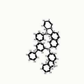 C1=CC2c3ccc4ccc(N(c5cccc(-c6ccccc6)c5)c5ccc6sc7ccccc7c6c5)cc4c3N(c3ccccc3)C2C=C1